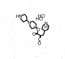 Cl.Cl.O=C=C(CC1CCNCC1)C(=O)ON1CCN(C2CCNCC2)CC1